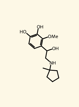 COc1c(C(O)CNC2(C)CCCC2)ccc(O)c1O